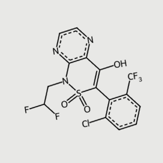 O=S1(=O)C(c2c(Cl)cccc2C(F)(F)F)=C(O)c2nccnc2N1CC(F)F